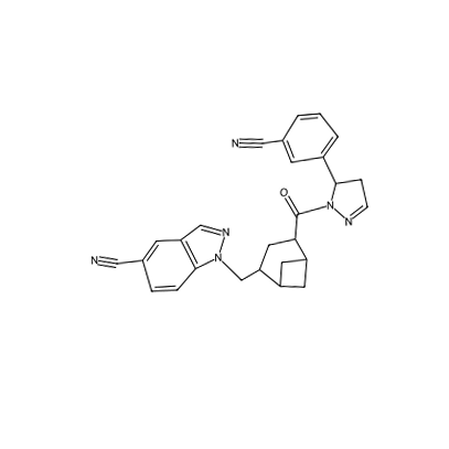 N#Cc1cccc(C2CC=NN2C(=O)C2CC(Cn3ncc4cc(C#N)ccc43)C3CC2C3)c1